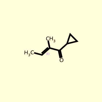 C/C=C(\C)C(=O)C1CC1